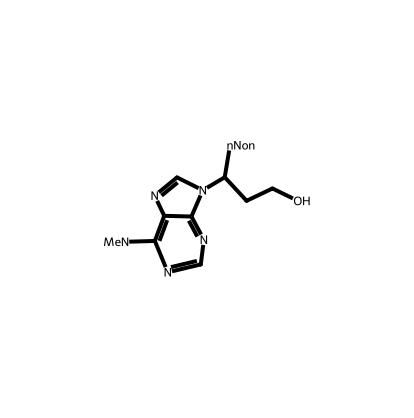 CCCCCCCCCC(CCO)n1cnc2c(NC)ncnc21